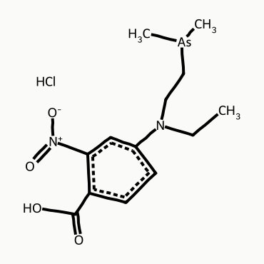 CCN(CC[As](C)C)c1ccc(C(=O)O)c([N+](=O)[O-])c1.Cl